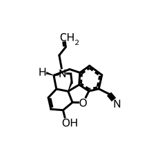 C=CCN1CC[C@@]23c4c5ccc(C#N)c4OC2C(O)C=CC3[C@@H]1C5